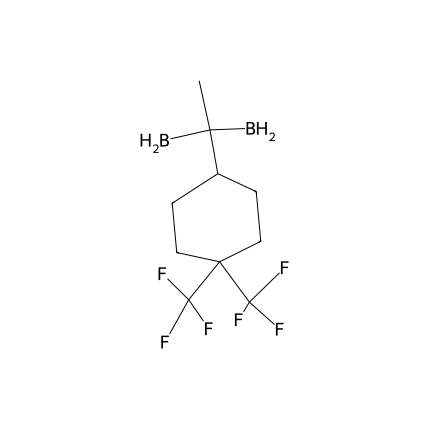 BC(B)(C)C1CCC(C(F)(F)F)(C(F)(F)F)CC1